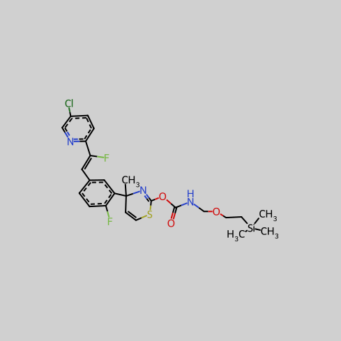 CC1(c2cc(C=C(F)c3ccc(Cl)cn3)ccc2F)C=CSC(OC(=O)NCOCC[Si](C)(C)C)=N1